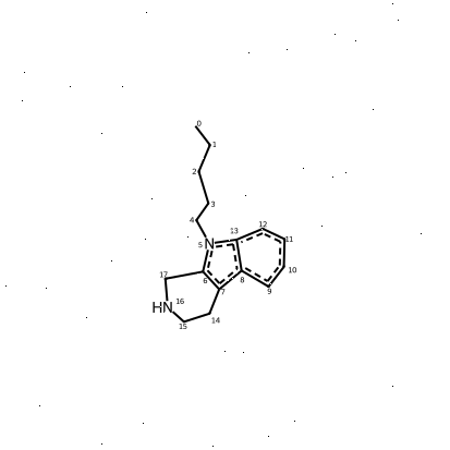 CCCCCn1c2c(c3ccccc31)CCNC2